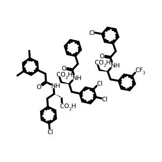 Cc1cc(C)cc(CC(=O)N[C@H](CC(=O)O)Cc2ccc(Cl)cc2)c1.O=C(O)C[C@H](Cc1ccc(Cl)c(Cl)c1)NC(=O)Cc1ccccc1.O=C(O)C[C@H](Cc1cccc(C(F)(F)F)c1)NC(=O)Cc1cccc(Cl)c1